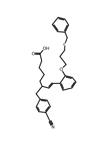 N#Cc1ccc(CC(C=Cc2ccccc2OCCCCCc2ccccc2)CCCCC(=O)O)cc1